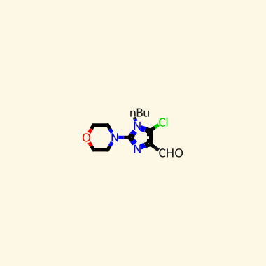 CCCCn1c(N2CCOCC2)nc(C=O)c1Cl